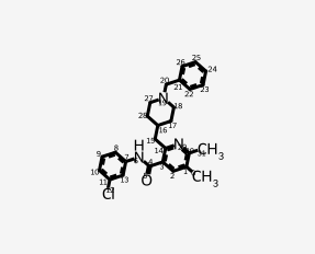 Cc1cc(C(=O)Nc2cccc(Cl)c2)c(CC2CCN(Cc3ccccc3)CC2)nc1C